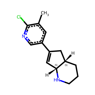 Cc1cc(C2=C[C@H]3NCCC[C@H]3C2)cnc1Cl